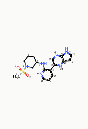 CS(=O)(=O)N1CCCC(Nc2ncccc2-c2cnc3[nH]ccc3n2)C1